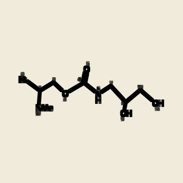 CCC(COC(=O)NCC(O)CO)NC